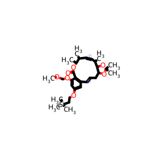 COCOc1cc(OCC[Si](C)(C)C)cc2c1C(=O)OC(C)C(C)/C=C\C(C)C1OC(C)(C)OC1C/C=C/2